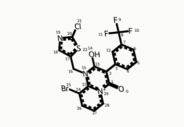 O=c1c(-c2cccc(C(F)(F)F)c2)c(O)n(Cc2cnc(Cl)s2)c2c(Br)ccc[n+]12